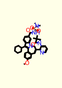 COc1ccc2c(c1)C=C(c1ncccc1N1CC(C)(C)C1=O)Cn1c-2c(C2CCCCC2)c2ccc(C(=O)NS(=O)(=O)N(C)C)cc21